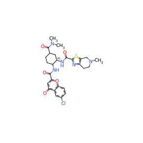 CN1CCc2nc(C(=O)N[C@@H]3CC(C(=O)N(C)C)CCC3NC(=O)c3cc(=O)c4cc(Cl)ccc4o3)sc2C1